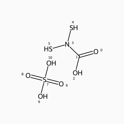 O=C(O)N(S)S.O=S(=O)(O)O